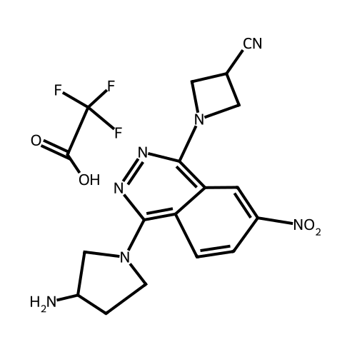 N#CC1CN(c2nnc(N3CCC(N)C3)c3ccc([N+](=O)[O-])cc23)C1.O=C(O)C(F)(F)F